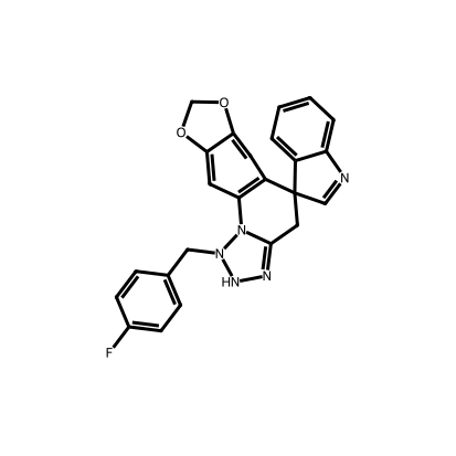 Fc1ccc(CN2NN=C3CC4(C=Nc5ccccc54)c4cc5c(cc4N32)OCO5)cc1